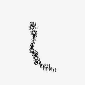 CCCCCC(C)OCCOC(=O)C1CCC(C(=O)OC2CCC(OCCCCCCOC3CCC(C4CCC(C)CC4)CC3)CC2)CC1